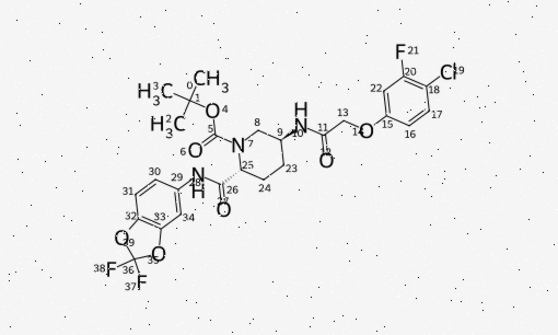 CC(C)(C)OC(=O)N1C[C@@H](NC(=O)COc2ccc(Cl)c(F)c2)CC[C@@H]1C(=O)Nc1ccc2c(c1)OC(F)(F)O2